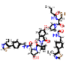 Cc1ncsc1-c1ccc(CNC(=O)[C@@H]2C[C@@H](Oc3ccc4c(c3)C(=O)N(C3(C(=O)N5C[C@H](O)C[C@H]5C(=O)NCc5ccc(-c6scnc6C)cc5)CCC3)C4)CN2C(=O)C(CS)NC(=O)CCC(C)C)cc1